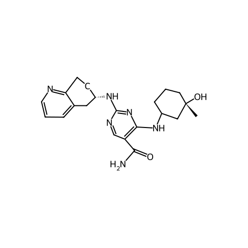 C[C@]1(O)CCCC(Nc2nc(N[C@H]3CCc4ncccc4C3)ncc2C(N)=O)C1